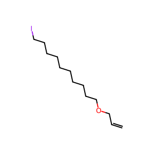 C=CCOCCCCCCCCCCI